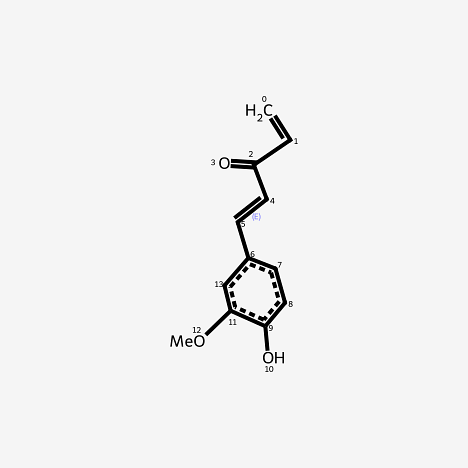 C=CC(=O)/C=C/c1ccc(O)c(OC)c1